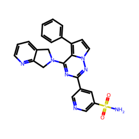 NS(=O)(=O)c1cncc(-c2nc(N3Cc4cccnc4C3)c3c(-c4ccccc4)ccn3n2)c1